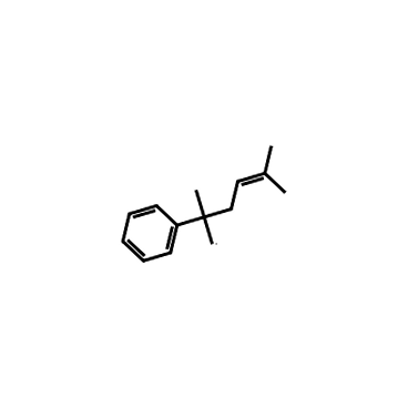 [CH2]C(C)(CC=C(C)C)c1ccccc1